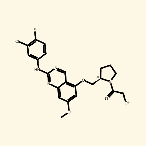 COc1cc(OC[C@H]2CCCN2C(=O)CO)c2cnc(Nc3ccc(F)c(Cl)c3)nc2c1